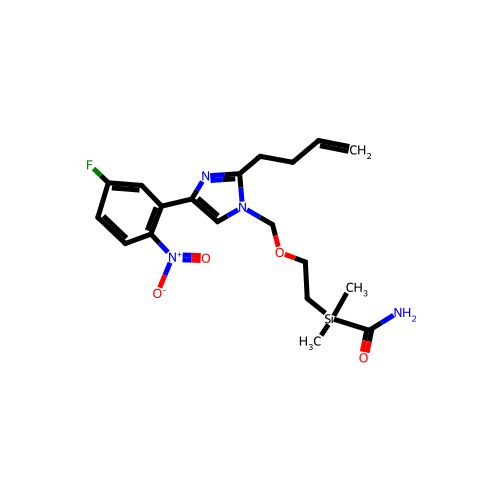 C=CC[CH]c1nc(-c2cc(F)ccc2[N+](=O)[O-])cn1COCC[Si](C)(C)C(N)=O